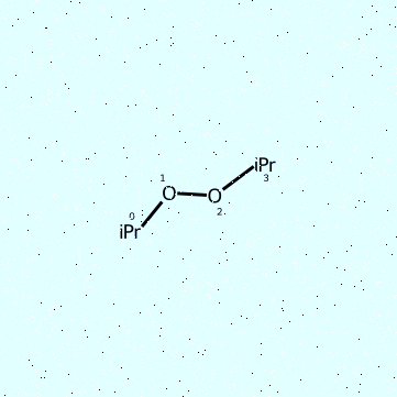 CC(C)OOC(C)C